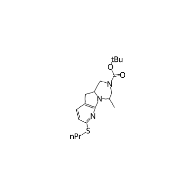 CCCSc1ccc2c(n1)N1C(C)CN(C(=O)OC(C)(C)C)CC1C2